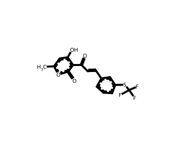 Cc1cc(O)c(C(=O)C=Cc2cccc(SC(F)(F)F)c2)c(=O)o1